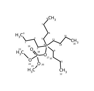 CCCCP(CCCC)(CCCC)(CCCC)OP(=O)(OC)OC